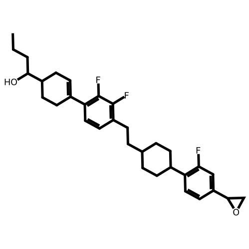 CCCC(O)C1CC=C(c2ccc(CCC3CCC(c4ccc(C5CO5)cc4F)CC3)c(F)c2F)CC1